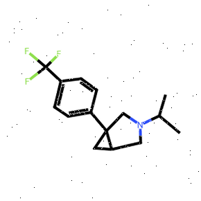 CC(C)N1CC2CC2(c2ccc(C(F)(F)F)cc2)C1